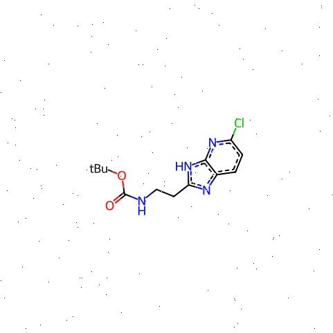 CC(C)(C)OC(=O)NCCc1nc2ccc(Cl)nc2[nH]1